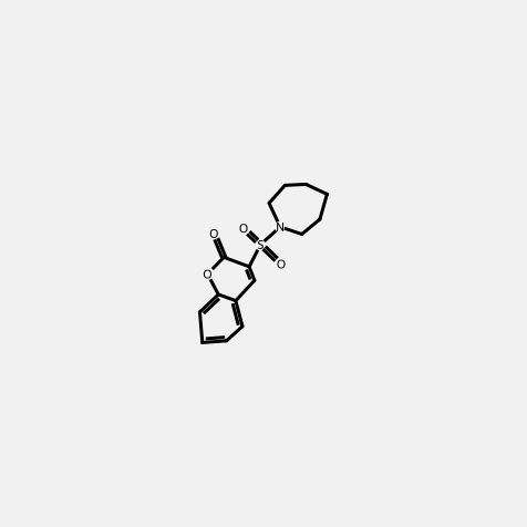 O=c1oc2ccccc2cc1S(=O)(=O)N1CCCCCC1